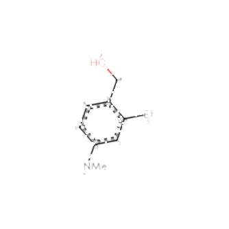 CCc1cc(NC)ccc1CO